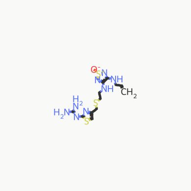 C=CCNc1n[s+]([O-])nc1NCCSCc1csc(N=C(N)N)n1